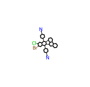 N#Cc1ccc(-c2c3c(c(-c4ccc(C#N)cc4)c4cc(Br)c(Cl)cc24)-c2cc4ccccc4c4cccc-3c24)cc1